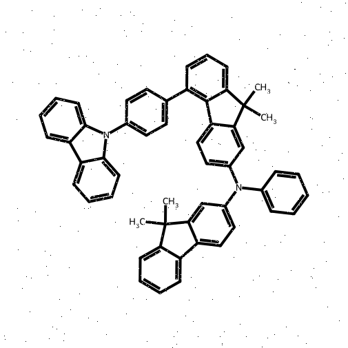 CC1(C)c2ccccc2-c2ccc(N(c3ccccc3)c3ccc4c(c3)C(C)(C)c3cccc(-c5ccc(-n6c7ccccc7c7ccccc76)cc5)c3-4)cc21